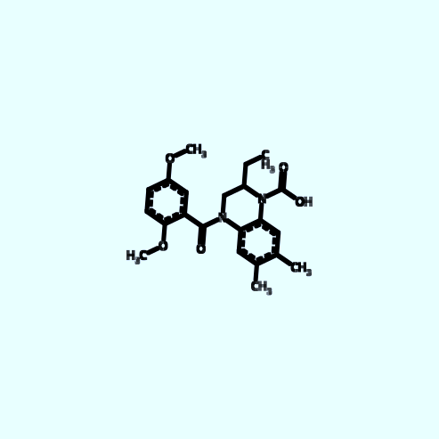 CCC1CN(C(=O)c2cc(OC)ccc2OC)c2cc(C)c(C)cc2N1C(=O)O